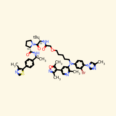 Cc1cn(-c2ccc(N(CCCCCOCC(=O)N[C@H](C(=O)N3CCC[C@H]3C(=O)N[C@@H](C)c3ccc(-c4scnc4C)cc3)C(C)(C)C)c3cc(-c4c(C)noc4C)cnc3C)cc2Br)cn1